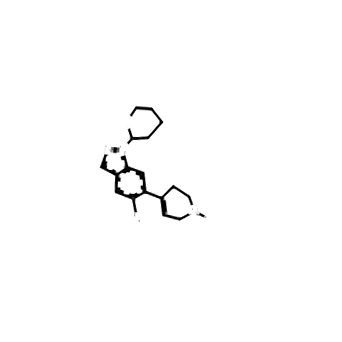 O=C(O)N1CC=C(c2cc3c(cnn3C3CCCCO3)cc2[N+](=O)[O-])CC1